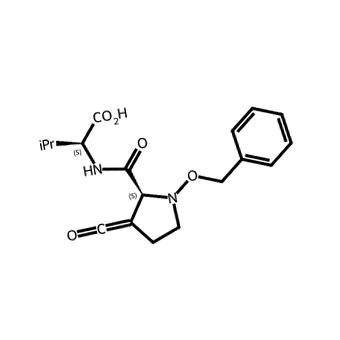 CC(C)[C@H](NC(=O)[C@@H]1C(=C=O)CCN1OCc1ccccc1)C(=O)O